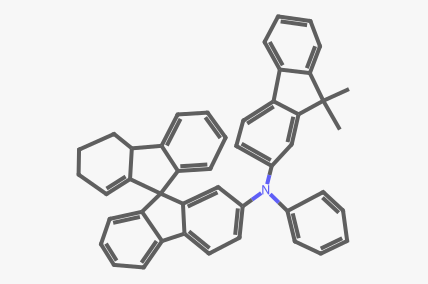 CC1(C)c2ccccc2-c2ccc(N(c3ccccc3)c3ccc4c(c3)C3(C5=CCCCC5c5ccccc53)c3ccccc3-4)cc21